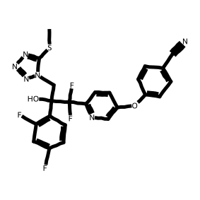 CSc1nnnn1CC(O)(c1ccc(F)cc1F)C(F)(F)c1ccc(Oc2ccc(C#N)cc2)cn1